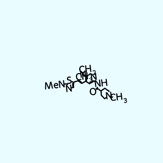 C=Nc1cnc(NC(=O)C2CCN(C)CC2)cc1/C=C(\C)c1cnc(NC)s1